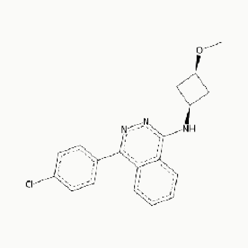 CO[C@H]1C[C@@H](Nc2nnc(-c3ccc(Cl)cc3)c3ccccc23)C1